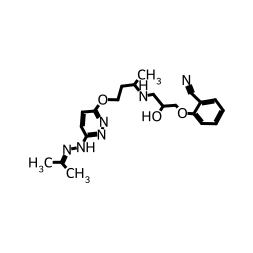 CC(C)=NNc1ccc(OCCC(C)NCC(O)COc2ccccc2C#N)nn1